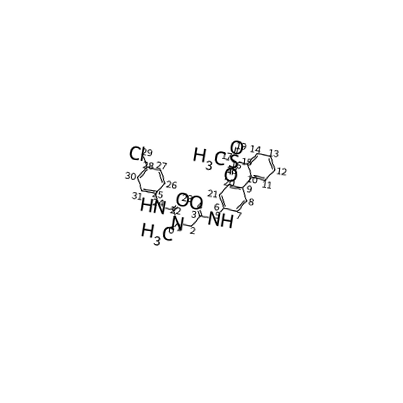 CN(CC(=O)Nc1ccc(-c2ccccc2S(C)(=O)=O)cc1)C(=O)Nc1ccc(Cl)cc1